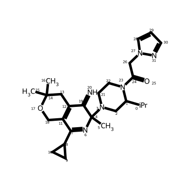 CC(C)C1CN(C2(C)N=C(C3CC3)C3=C(CC(C)(C)OC3)C2=N)CCN1C(=O)Cn1cccn1